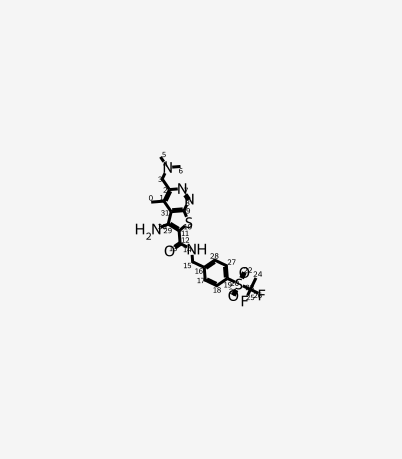 Cc1c(CN(C)C)nnc2sc(C(=O)NCc3ccc(S(=O)(=O)C(C)(F)F)cc3)c(N)c12